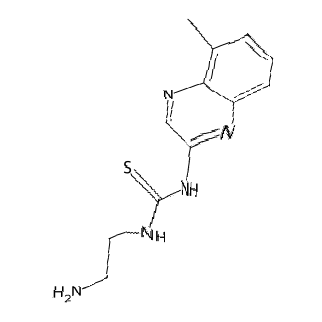 Cc1cccc2nc(NC(=S)NCCN)cnc12